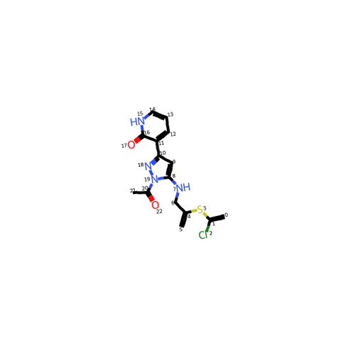 C=C(Cl)SC(=C)CNc1cc(-c2ccc[nH]c2=O)nn1C(C)=O